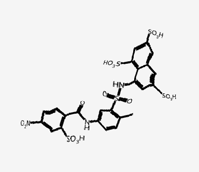 Cc1ccc(NC(=O)c2ccc([N+](=O)[O-])cc2S(=O)(=O)O)cc1S(=O)(=O)Nc1cc(S(=O)(=O)O)cc2cc(S(=O)(=O)O)cc(S(=O)(=O)O)c12